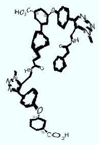 Cn1nnc(-c2ccc(O[C@H]3CCC[C@H](C(=O)O)C3)cc2)c1CNC(=O)/C=C/c1ccc(C2C[C@H](Oc3ccc(-c4nnn(C)c4CNC(=O)Cc4ccccc4)cc3)C[C@@H](C(=O)O)C2)cc1